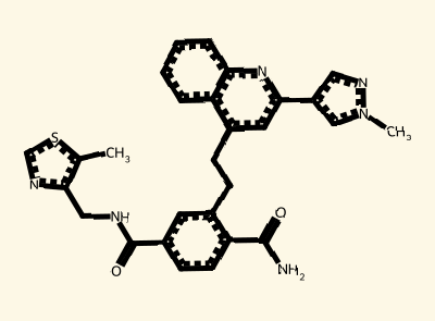 Cc1scnc1CNC(=O)c1ccc(C(N)=O)c(CCc2cc(-c3cnn(C)c3)nc3ccccc23)c1